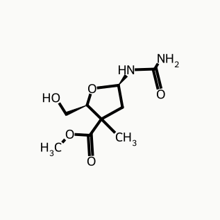 COC(=O)C1(C)C[C@H](NC(N)=O)O[C@@H]1CO